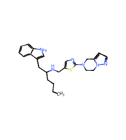 CCCCC(Cc1c[nH]c2ccccc12)NCc1cnc(N2CCn3nccc3C2)s1